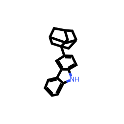 c1ccc2c(c1)[nH]c1ccc(C34CC5CC(CC(C5)C3)C4)cc12